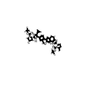 CC1CC[C@@H](c2nc3c([nH]2)-c2cc4c(cc2CC3)-c2ccc(-c3[nH]c([C@@H]5C[C@H](C)CN5C(=O)OC(C)(C)C)nc3C3CC3)cc2CO4)N1C(=O)OC(C)(C)C